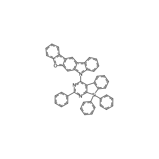 c1ccc(-c2nc(-n3c4ccccc4c4cc5c(cc43)oc3ccccc35)c3c(n2)[Si](c2ccccc2)(c2ccccc2)c2ccccc2-3)cc1